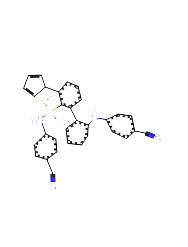 CS(C)(Nc1ccc(C#N)cc1)c1c(-c2ccccc2Nc2ccc(C#N)cc2)cccc1C1C=CC=C1